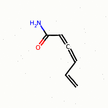 C=CC=C=CC(N)=O